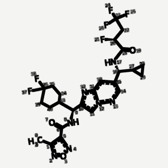 Cc1nonc1C(=O)N[C@H](c1cn2ncc([C@H](NC(=O)[C@@H](F)CC(F)(F)F)C3CC3)cc2n1)C1CCC(F)(F)CC1